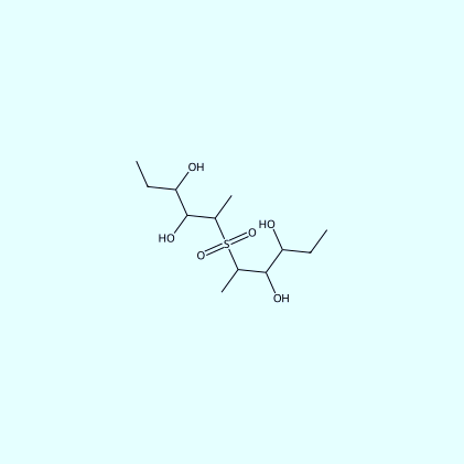 CCC(O)C(O)C(C)S(=O)(=O)C(C)C(O)C(O)CC